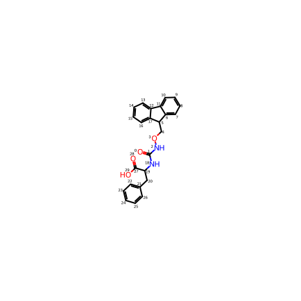 O=C(NOCC1c2ccccc2-c2ccccc21)NC(Cc1ccccc1)C(=O)O